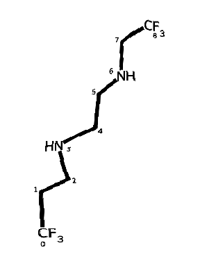 FC(F)(F)CCNCCNCC(F)(F)F